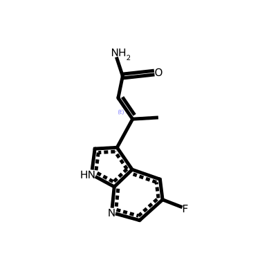 C/C(=C\C(N)=O)c1c[nH]c2ncc(F)cc12